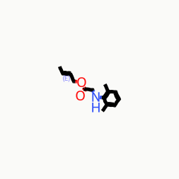 C/C=C/COC(=O)CNc1c(C)cccc1C